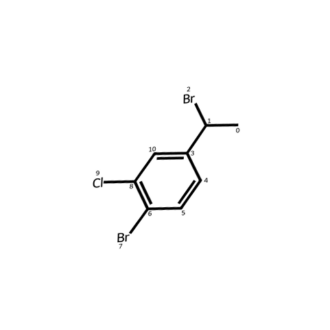 CC(Br)c1ccc(Br)c(Cl)c1